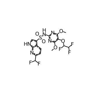 COc1nc(NS(=O)(=O)c2c[nH]c3nc(C(F)F)ccc23)nc(OC)c1OC(F)C(F)F